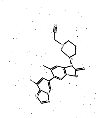 Cc1cc2c(cc1-c1cc(C)c3ncnn3c1)[nH]c(=O)n2[C@@H]1CCCN(CC#N)C1